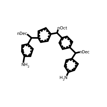 CCCCCCCCCCC(c1ccc(N)cc1)c1ccc(C(CCCCCCCC)c2ccc(C(CCCCCCCCCC)c3ccc(N)cc3)cc2)cc1